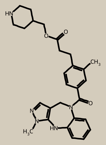 Cc1cc(C(=O)N2Cc3cnn(C)c3Nc3ccccc32)ccc1CCC(=O)OCC1CCNCC1